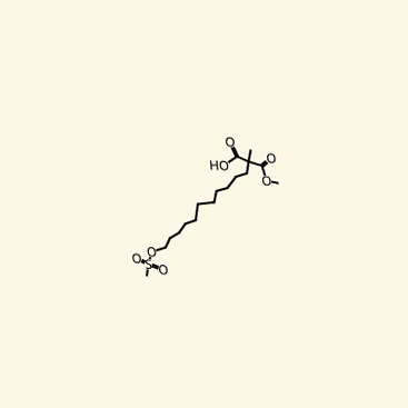 COC(=O)C(C)(CCCCCCCCCCCOS(C)(=O)=O)C(=O)O